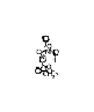 CC1(C)C(=O)N(C2CCN(C(=O)[C@H](CCc3ccccc3)NC(=O)[C@@H]3CCCN3)CC2)c2ccccc21